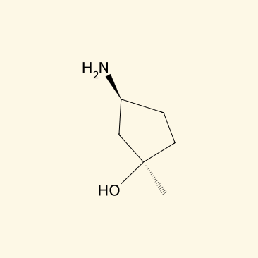 C[C@@]1(O)CC[C@H](N)C1